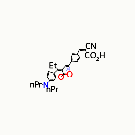 CCCN(CCC)c1ccc2c(CC)c(/C=C/c3ccc(C=C(C#N)C(=O)O)cc3)c(=O)oc2c1